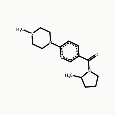 CC1CCCN1C(=O)c1ccc(N2CCN(C)CC2)nc1